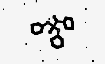 O=C(c1ccccc1)P(=O)(Oc1ccccc1)Oc1ccccc1